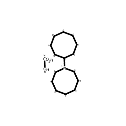 C1CCCC(N2CCCCCCC2)CCC1.O=C(O)O